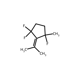 CC(C)=C1C(C)(F)CCC1(F)F